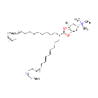 CCCCC/C=C\C/C=C\CCCCCCCCC(CCCCCCCC/C=C\C/C=C\CCCCC)C1OC2C[C@@H]([N+](C)(C)C)C[C@@H]2O1